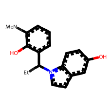 CCC(c1cccc(NC)c1O)n1ccc2cc(O)ccc21